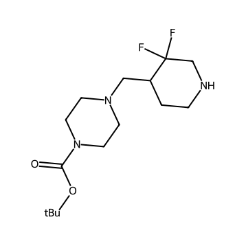 CC(C)(C)OC(=O)N1CCN(CC2CCNCC2(F)F)CC1